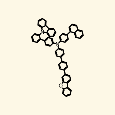 c1ccc(-n2c3ccccc3c3ccccc32)c(-c2ccc(N(c3ccc(-c4ccc(-c5ccc6c(c5)oc5ccccc56)cc4)cc3)c3ccc(-c4cccc5ccccc45)cc3)cc2)c1